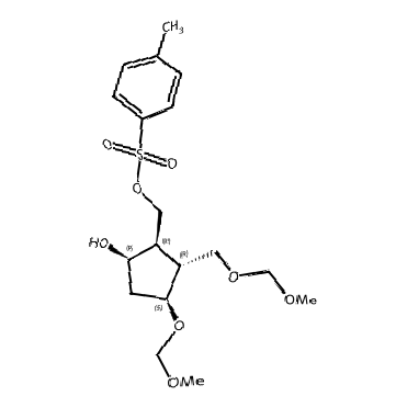 COCOC[C@H]1[C@H](COS(=O)(=O)c2ccc(C)cc2)[C@H](O)C[C@@H]1OCOC